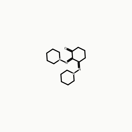 O=C1CCCC(=NN2CCCCC2)C1=NN1CCCCC1